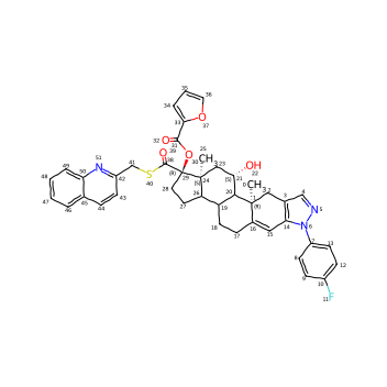 C[C@]12Cc3cnn(-c4ccc(F)cc4)c3C=C1CCC1C2[C@@H](O)C[C@@]2(C)C1CC[C@]2(OC(=O)c1ccco1)C(=O)SCc1ccc2ccccc2n1